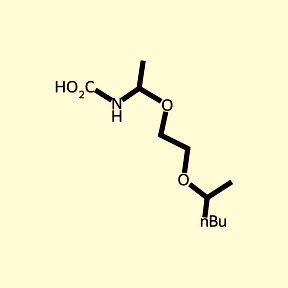 CCCCC(C)OCCOC(C)NC(=O)O